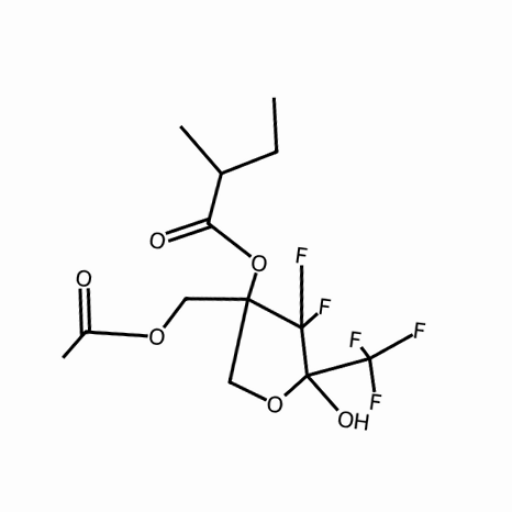 CCC(C)C(=O)OC1(COC(C)=O)COC(O)(C(F)(F)F)C1(F)F